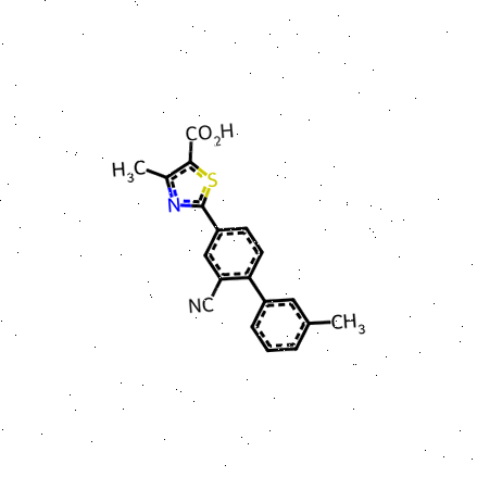 Cc1cccc(-c2ccc(-c3nc(C)c(C(=O)O)s3)cc2C#N)c1